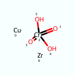 [Cu].[O]=[Cr](=[O])([OH])[OH].[Zr]